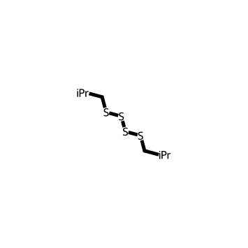 CC(C)CSSSSCC(C)C